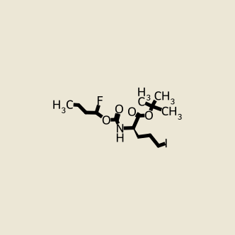 CCCC(F)OC(=O)N[C@H](CCCI)C(=O)OC(C)(C)C